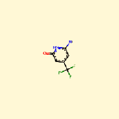 [N]c1cc(C(F)(F)F)cc(=O)[nH]1